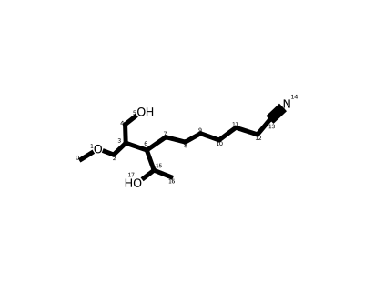 COCC(CO)C(CCCCCCC#N)C(C)O